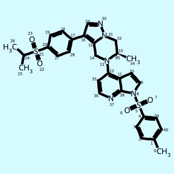 Cc1ccc(S(=O)(=O)n2ccc3c(N4Cc5c(-c6ccc(S(=O)(=O)C(C)C)cc6)cnn5C[C@H]4C)ccnc32)cc1